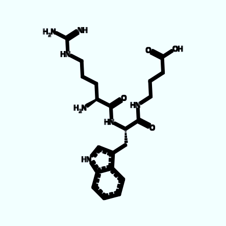 N=C(N)NCCC[C@H](N)C(=O)N[C@@H](Cc1c[nH]c2ccccc12)C(=O)NCCCC(=O)O